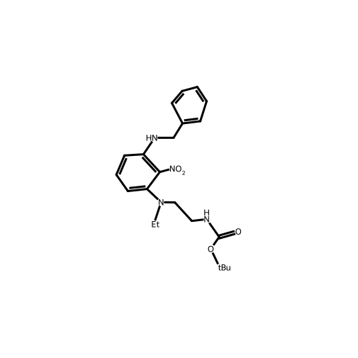 CCN(CCNC(=O)OC(C)(C)C)c1cccc(NCc2ccccc2)c1[N+](=O)[O-]